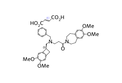 COc1cc2c(cc1OC)CCN(C(=O)CCN(Cc1ccccc1)C[C@H]1Cc3cc(OC)c(OC)cc31)CC2.O=C(O)/C=C/C(=O)O